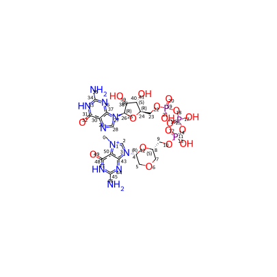 C[n+]1cn([C@H]2COC[C@@H](COP(=O)(O)OP(=O)(O)OP(=O)(O)OC[C@H]3O[C@@H](n4cnc5c(=O)[nH]c(N)nc54)[C@H](O)[C@@H]3O)O2)c2nc(N)[nH]c(=O)c21